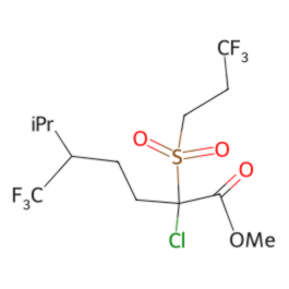 COC(=O)C(Cl)(CCC(C(C)C)C(F)(F)F)S(=O)(=O)CCC(F)(F)F